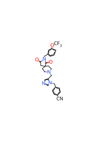 N#Cc1ccc(Cn2cncc2CN2CCC3(CC2)CC(=O)N(Cc2cccc(OC(F)(F)F)c2)C3=O)cc1